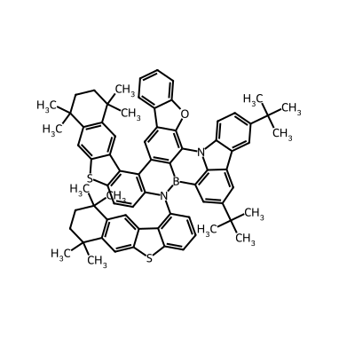 CC(C)(C)c1ccc2c(c1)c1cc(C(C)(C)C)cc3c1n2-c1c2c(cc4c1oc1ccccc14)-c1c(ccc4sc5cc6c(cc5c14)C(C)(C)CCC6(C)C)N(c1cccc4sc5cc6c(cc5c14)C(C)(C)CCC6(C)C)B23